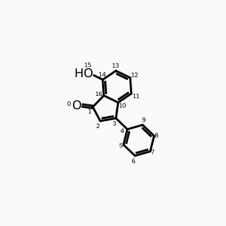 O=C1C=C(c2ccccc2)c2cccc(O)c21